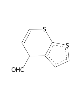 O=CC1C=CSc2sccc21